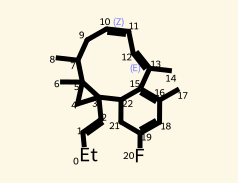 CCC=CC12CC1(C)C(C)C/C=C\C=C(/C)C1=C(C)C=C(F)CC12